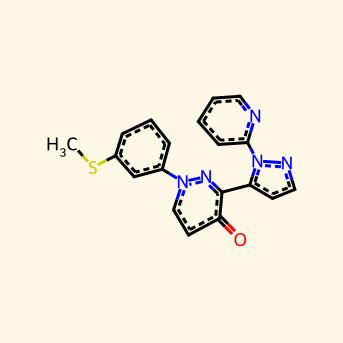 CSc1cccc(-n2ccc(=O)c(-c3ccnn3-c3ccccn3)n2)c1